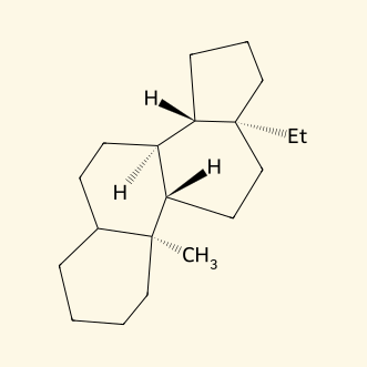 CC[C@@]12CCC[C@H]1[C@@H]1CCC3CCCC[C@]3(C)[C@H]1CC2